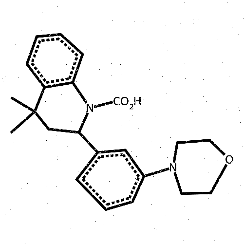 CC1(C)CC(c2cccc(N3CCOCC3)c2)N(C(=O)O)c2ccccc21